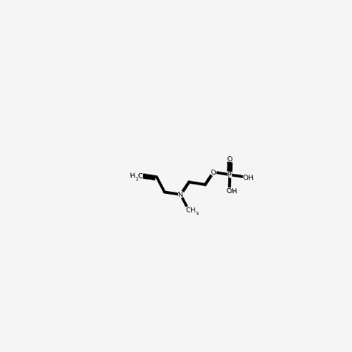 C=CCN(C)CCOP(=O)(O)O